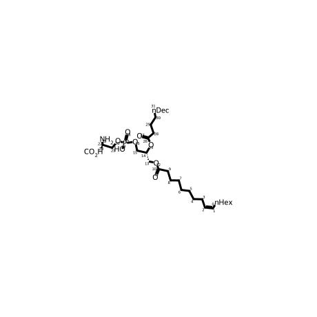 CCCCCC/C=C\CCCCCCCC(=O)OC[C@H](COP(=O)(O)OC[C@H](N)C(=O)O)OC(=O)CCCCCCCCCCCCC